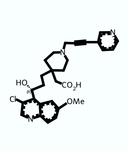 COc1ccc2ncc(Cl)c([C@H](O)CCC3(CC(=O)O)CCN(CC#Cc4cccnc4)CC3)c2c1